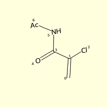 C=C(Cl)C(=O)NC(C)=O